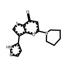 O=c1cc(N2CCCCC2)oc2c(-c3ccn[nH]3)csc12